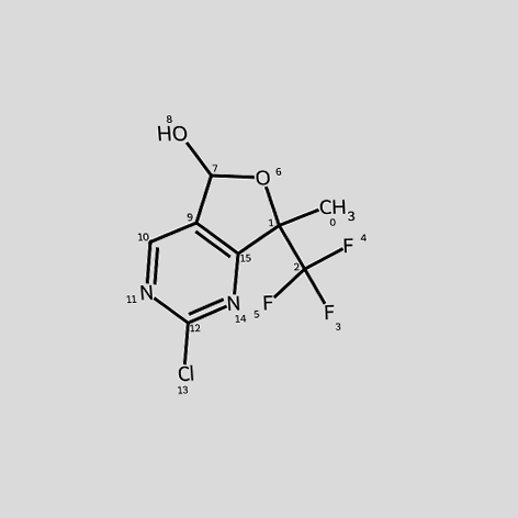 CC1(C(F)(F)F)OC(O)c2cnc(Cl)nc21